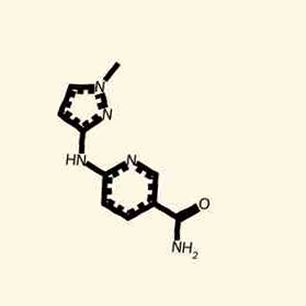 Cn1ccc(Nc2ccc(C(N)=O)cn2)n1